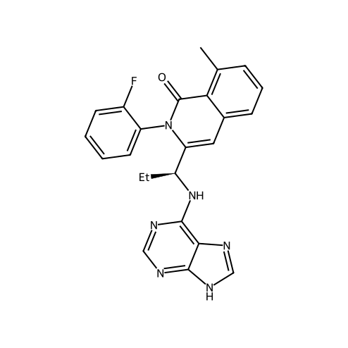 CC[C@H](Nc1ncnc2[nH]cnc12)c1cc2cccc(C)c2c(=O)n1-c1ccccc1F